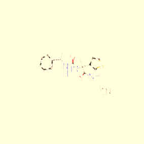 CC(NC(=O)NC(C)(C(=O)NCCC#N)c1ccsc1)c1ccccc1